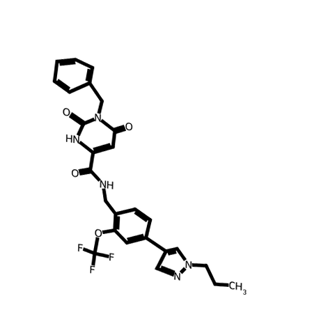 CCCn1cc(-c2ccc(CNC(=O)c3cc(=O)n(Cc4ccccc4)c(=O)[nH]3)c(OC(F)(F)F)c2)cn1